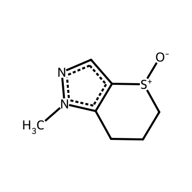 Cn1ncc2c1CCC[S+]2[O-]